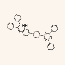 c1ccc(C2=Nc3ccc(-c4ccc(-c5nc(-c6ccccc6)nc(-c6ccccc6)n5)cc4)cc3NC2c2ccccc2)cc1